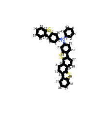 c1ccc(N(c2ccc3c(c2)sc2ccccc23)c2ccc3c(c2)sc2c3ccc3c2ccc2c4ccccc4sc23)cc1